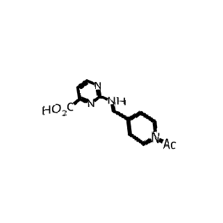 CC(=O)N1CCC(CNc2nccc(C(=O)O)n2)CC1